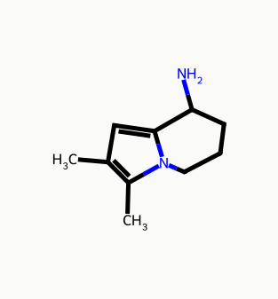 Cc1cc2n(c1C)CCCC2N